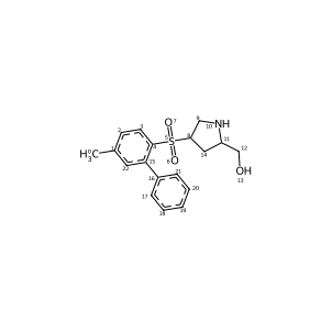 Cc1ccc(S(=O)(=O)C2CNC(CO)C2)c(-c2ccccc2)c1